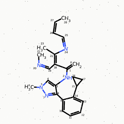 C=C(Nc1cn(C)nc1-c1ccccc1C1CC1)C(/C=N\C)=C(C)\N=C/C=C\C